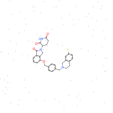 O=C1CCC(N2Cc3c(OCc4ccc(CN5CCc6ccc(F)cc6C5)cc4)cccc3C2=O)C(=O)N1